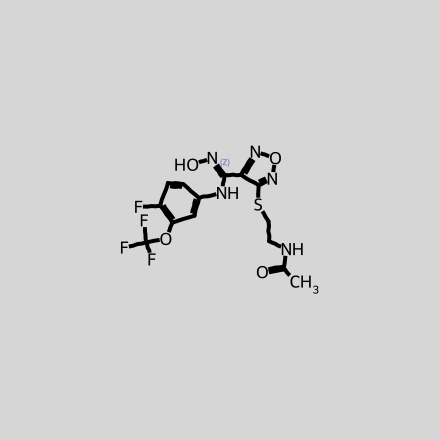 CC(=O)NCCSc1nonc1/C(=N/O)Nc1ccc(F)c(OC(F)(F)F)c1